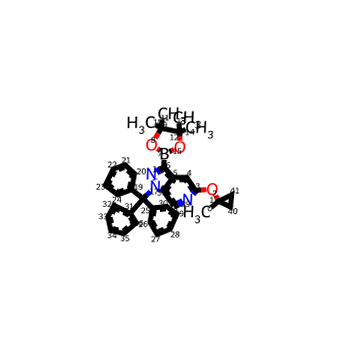 CC1(Oc2cc3c(B4OC(C)(C)C(C)(C)O4)nn(C(c4ccccc4)(c4ccccc4)c4ccccc4)c3cn2)CC1